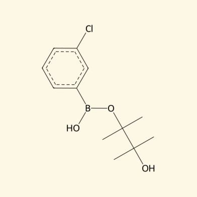 CC(C)(O)C(C)(C)OB(O)c1cccc(Cl)c1